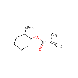 C=C(C)C(=O)OC1CCCCC1CCCCC